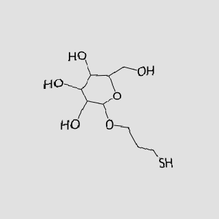 OCC1OC(OCCCS)C(O)C(O)C1O